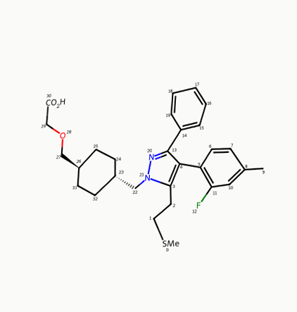 CSCCc1c(-c2ccc(C)cc2F)c(-c2ccccc2)nn1C[C@H]1CC[C@H](COCC(=O)O)CC1